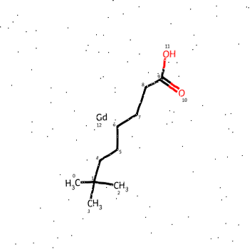 CC(C)(C)CCCCCC(=O)O.[Gd]